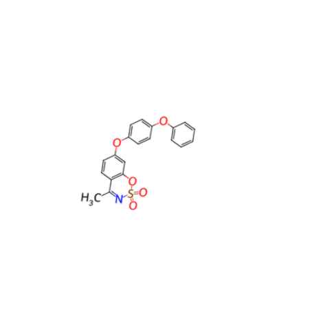 CC1=NS(=O)(=O)Oc2cc(Oc3ccc(Oc4ccccc4)cc3)ccc21